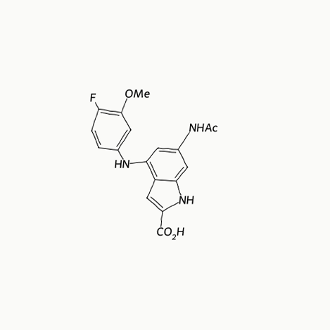 COc1cc(Nc2cc(NC(C)=O)cc3[nH]c(C(=O)O)cc23)ccc1F